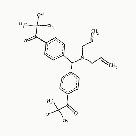 C=CCN(CC=C)C(c1ccc(C(=O)C(C)(C)O)cc1)c1ccc(C(=O)C(C)(C)O)cc1